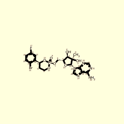 C[C@@]1(O)[C@H](O)[C@@H](CO[P@@]2(=O)OCC[C@@H](c3cc(F)ccc3Br)O2)O[C@H]1n1cnc2c(N)ncnc21